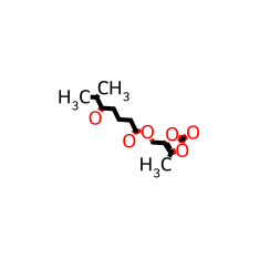 Cc1oc(=O)oc1COC(=O)CCCC(=O)C(C)C